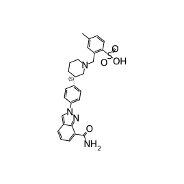 Cc1ccc(S(=O)(=O)O)c(CN2CCC[C@@H](c3ccc(-n4cc5cccc(C(N)=O)c5n4)cc3)C2)c1